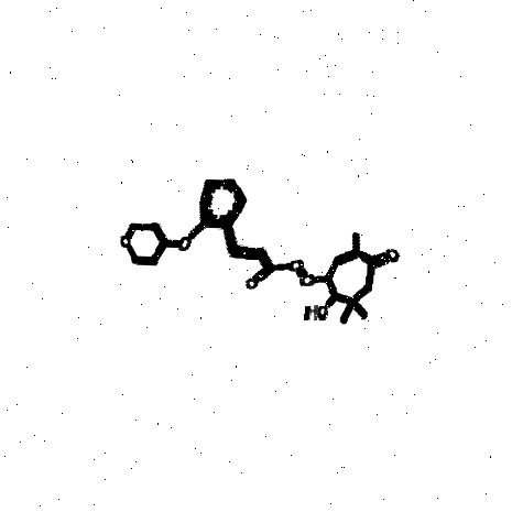 CC1=CC(OOC(=O)C=Cc2ccccc2OC2CCOCC2)C(O)C(C)(C)CC1=O